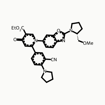 CCOC(=O)c1cn(-c2ccc3nc(N4CCC[C@@H]4COC)oc3c2)c(-c2ccc(N3CCCC3)c(C#N)c2)cc1=O